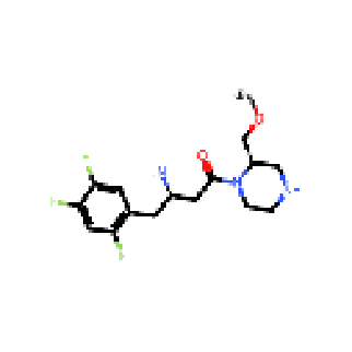 CC(C)(C)OC[C@H]1CNCCN1C(=O)C[C@H](N)Cc1cc(F)c(F)cc1F